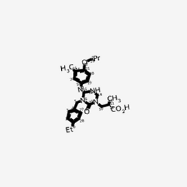 CCc1ccc(CN2C(=O)N(C[C@H](C)C(=O)O)CN/C2=N\c2ccc(OC(C)C)c(C)c2)cc1